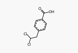 O=C(O)c1ccc(CC(Cl)Cl)cc1